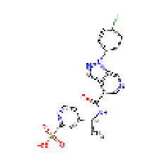 C[C@H](NC(=O)c1cncc2c1cnn2-c1ccc(F)cc1)c1ccnc(S(=O)(=O)O)c1